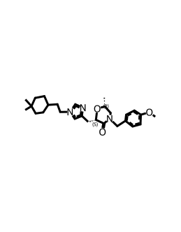 COc1ccc(CN2C[C@@H](C)O[C@@H](Cc3cn(CCC4CCC(C)(C)CC4)cn3)C2=O)cc1